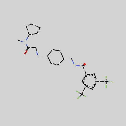 CN(C(=O)CN[C@H]1CC[C@@H](CNC(=O)c2cc(C(F)(F)F)cc(C(F)(F)F)c2)CC1)C1CCCC1